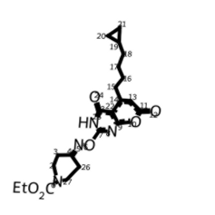 CCOC(=O)N1CCC(=NOc2nc3oc(=O)cc(CCCCC4CC4)c3c(=O)[nH]2)CC1